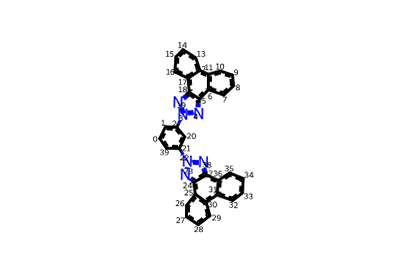 c1cc(-n2nc3c4ccccc4c4ccccc4c3n2)cc(-n2nc3c4ccccc4c4ccccc4c3n2)c1